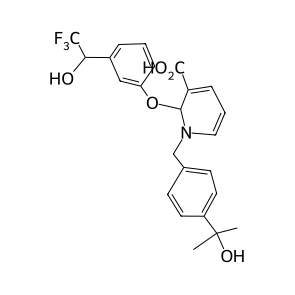 CC(C)(O)c1ccc(CN2C=CC=C(C(=O)O)C2Oc2cccc(C(O)C(F)(F)F)c2)cc1